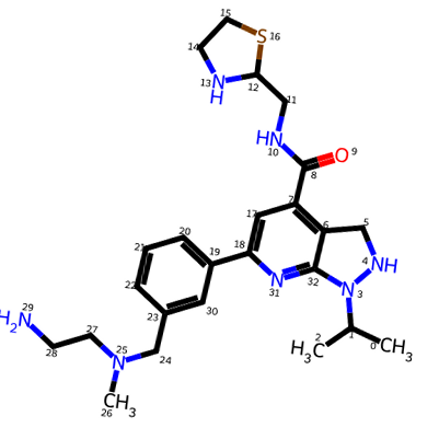 CC(C)N1NCc2c(C(=O)NCC3NCCS3)cc(-c3cccc(CN(C)CCN)c3)nc21